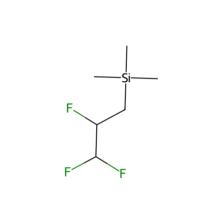 C[Si](C)(C)CC(F)C(F)F